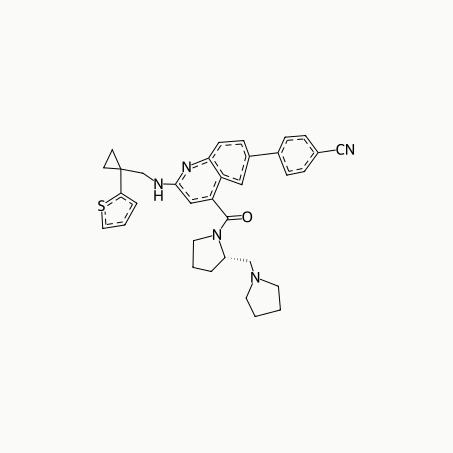 N#Cc1ccc(-c2ccc3nc(NCC4(c5cccs5)CC4)cc(C(=O)N4CCC[C@H]4CN4CCCC4)c3c2)cc1